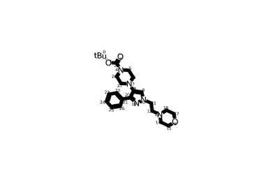 CC(C)(C)OC(=O)N1CCN(c2cn(CCN3CCOCC3)nc2-c2ccccc2)CC1